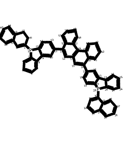 C1=C(p2c3ccccc3c3cc(-c4cc5cc(-c6ccc7c(c6)c6ccccc6p7-c6cccc7ccccc67)c6ccccc6c5c5ccccc45)ccc32)CCc2ccccc21